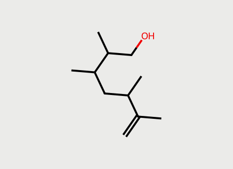 C=C(C)C(C)CC(C)C(C)CO